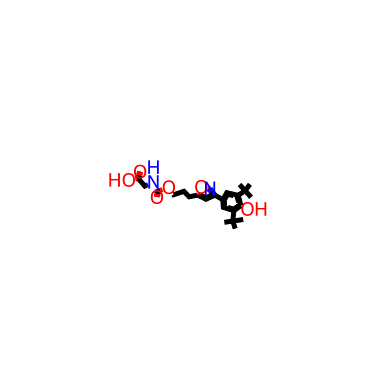 CC(C)(C)c1cc(-c2cc(CCCOC(=O)NCC(=O)O)on2)cc(C(C)(C)C)c1O